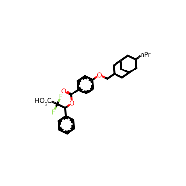 CCCC1CC2CC(COc3ccc(C(=O)OC(c4ccccc4)C(F)(F)C(=O)O)cc3)CC(C1)C2